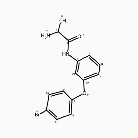 CC(N)C(=O)Nc1cccc(Oc2ccc(Br)cc2)c1